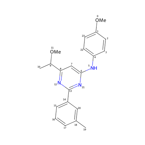 COc1ccc(Nc2cc(C(C)OC)nc(-c3cccc(C)c3)n2)cc1